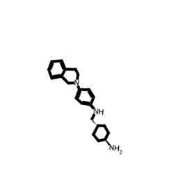 N[C@H]1CC[C@H](CNc2ccc(N3CCc4ccccc4C3)cc2)CC1